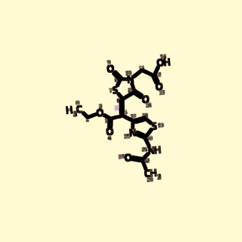 CCOC(=O)/C(=C1\SC(=O)N(CC(=O)O)C1=O)c1csc(NC(C)=O)n1